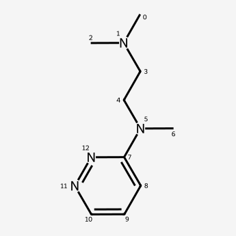 CN(C)CCN(C)c1cccnn1